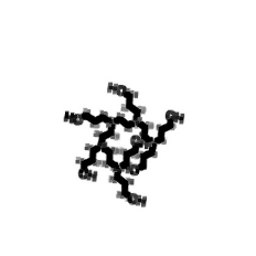 OCCCN(CCCO)CCN(CCCO)CCN(CCCO)CCN(CCCO)CCN(CCCO)CCCO